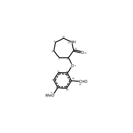 COc1ccc(OC2CCCCNC2=O)c(C=O)c1